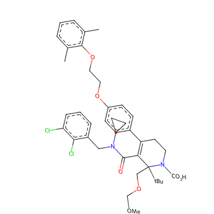 COCOCC1(C(C)(C)C)C(C(=O)N(Cc2cccc(Cl)c2Cl)C2CC2)=C(c2ccc(OCCOc3c(C)cccc3C)cc2)CCN1C(=O)O